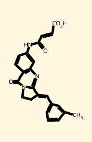 Cc1cccc(C=C2CCn3c2nc2cc(NC(=O)/C=C/C(=O)O)ccc2c3=O)c1